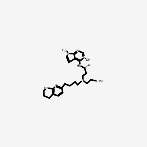 COCCN(CCCCc1ccc2c(n1)NCCC2)CC[C@H](Nc1c2ccn(C)c2nc[n+]1O)C(C)=O